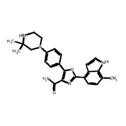 Cc1ccc(-c2nc(C(N)=O)c(-c3ccc(N4CCNC(C)(C)C4)cc3)o2)c2cc[nH]c12